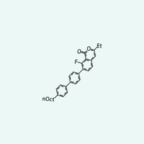 CCCCCCCCc1ccc(-c2ccc(-c3ccc4cc(CC)oc(=O)c4c3F)cc2)cc1